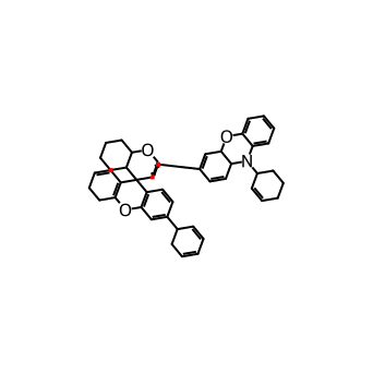 C1=CCC(c2ccc3c(c2)OC2=C(C=CCC2)C32C3C=CC(C4=CC5Oc6ccccc6N(C6C=CCCC6)C5C=C4)=CC3OC3CCCCC32)C=C1